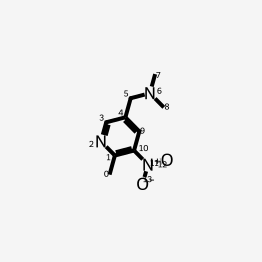 Cc1ncc(CN(C)C)cc1[N+](=O)[O-]